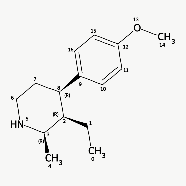 CC[C@H]1[C@@H](C)NCC[C@H]1c1ccc(OC)cc1